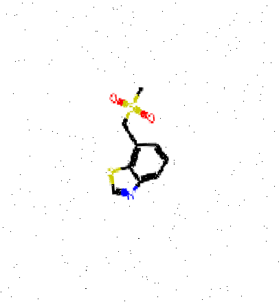 [CH2]S(=O)(=O)Cc1cccc2ncsc12